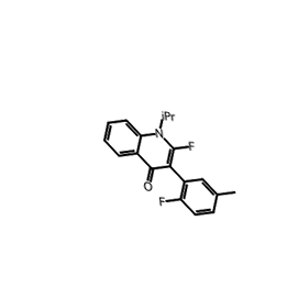 Cc1ccc(F)c(-c2c(F)n(C(C)C)c3ccccc3c2=O)c1